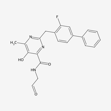 Cc1nc(Cc2ccc(-c3ccccc3)cc2F)nc(C(=O)NCC=O)c1O